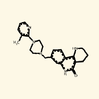 Cc1cccnc1N1CCN(Cc2ccc3c4c(c(=O)[nH]c3c2)CCCN4)CC1